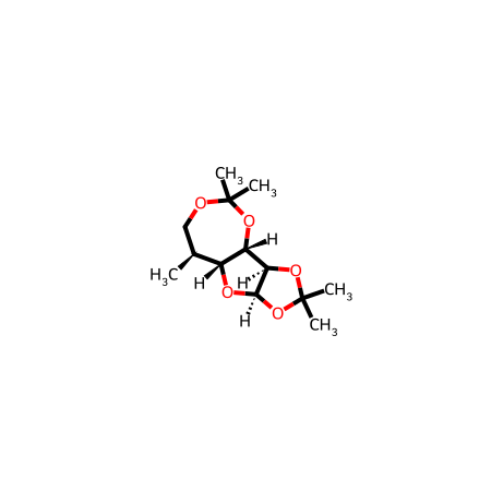 C[C@H]1COC(C)(C)O[C@@H]2[C@H]3OC(C)(C)O[C@H]3O[C@@H]21